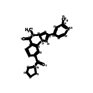 Cn1c(=O)c2ccc(C(=O)N3CCCC3)cc2n2nc(-c3ccnc(C(F)(F)F)c3)cc12